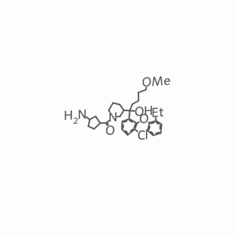 CCc1ccccc1Oc1c(Cl)cccc1C(O)(CCCCOC)C1CCCN(C(=O)C2CCC(N)C2)C1